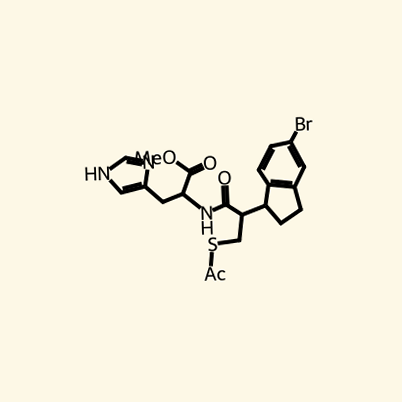 COC(=O)C(Cc1c[nH]cn1)NC(=O)C(CSC(C)=O)C1CCc2cc(Br)ccc21